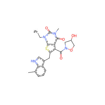 Cc1cccc2c(Cc3sc4c(c3C(=O)N3CC(O)CO3)c(=O)n(C)c(=O)n4CC(C)C)c[nH]c12